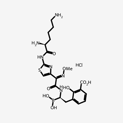 CON=C(C(=O)N[C@@H](Cc1cccc(C(=O)O)c1O)B(O)O)c1csc(NC(=O)[C@@H](N)CCCCN)n1.Cl